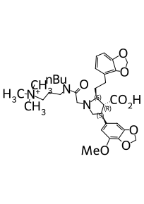 CCCCN(CCC[N+](C)(C)C)C(=O)CN1C[C@H](c2cc(OC)c3c(c2)OCO3)[C@@H](C(=O)O)[C@@H]1CCc1cccc2c1OCO2